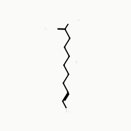 CCCCCCCCC=CCCCCCCC(C)C(=O)[O-].[K+]